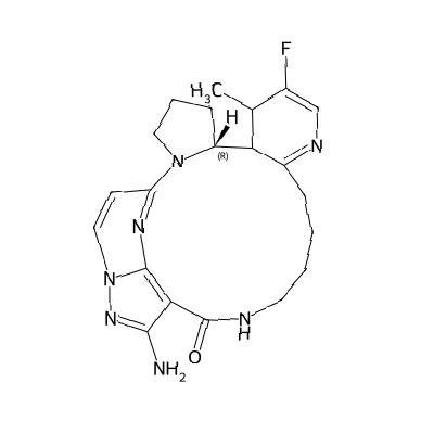 CC1C(F)=CN=C2CCCCNC(=O)c3c(N)nn4ccc(nc34)N3CCC[C@@H]3C21